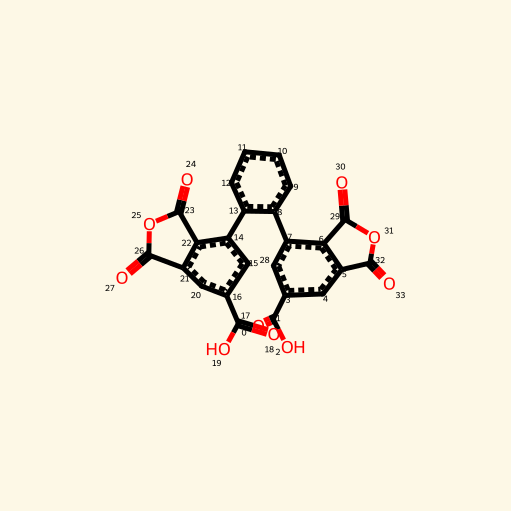 O=C(O)c1cc2c(c(-c3ccccc3-c3cc(C(=O)O)cc4c3C(=O)OC4=O)c1)C(=O)OC2=O